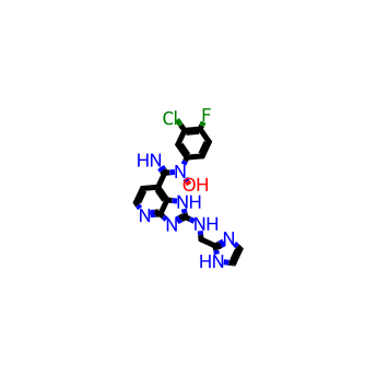 N=C(c1ccnc2nc(NCc3ncc[nH]3)[nH]c12)N(O)c1ccc(F)c(Cl)c1